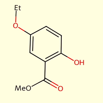 CCOc1ccc(O)c(C(=O)OC)c1